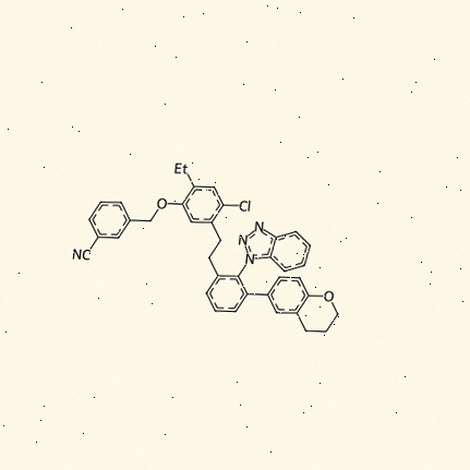 CCc1cc(Cl)c(CCc2cccc(-c3ccc4c(c3)CCCO4)c2-n2nnc3ccccc32)cc1OCc1cccc(C#N)c1